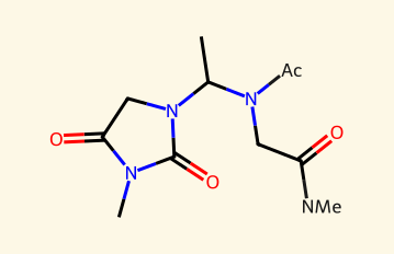 CNC(=O)CN(C(C)=O)C(C)N1CC(=O)N(C)C1=O